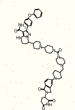 NC(=O)c1c(-c2ccc(Oc3ccccc3)cc2)nn2c1NCCC2C1CCN(C2CCN(C(=O)N3CCN(CC4CCN(c5ccc6c(c5)CN(C5CCC(=O)NC5=O)C6=O)CC4)CC3)CC2)CC1